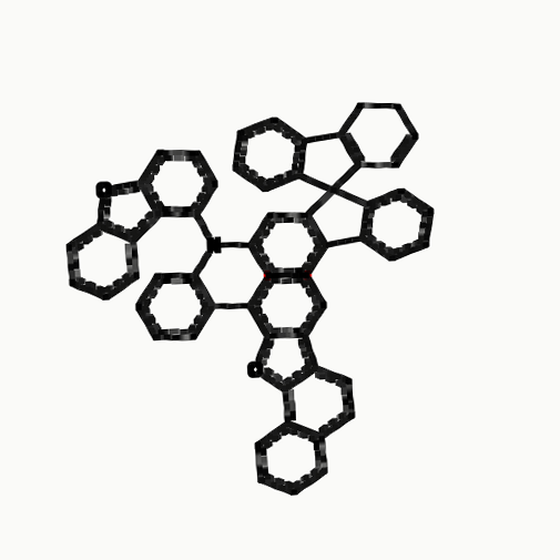 C1=CC2=C(CC1)c1ccccc1C21c2ccccc2-c2ccc(N(c3ccccc3-c3cccc4c3oc3c5ccccc5ccc43)c3cccc4oc5ccccc5c34)cc21